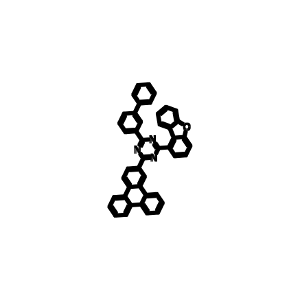 c1ccc(-c2cccc(-c3nc(-c4ccc5c6ccccc6c6ccccc6c5c4)nc(-c4cccc5oc6ccccc6c45)n3)c2)cc1